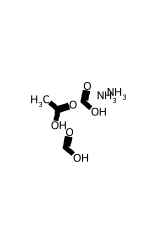 CC(=O)O.N.N.O=CO.O=CO